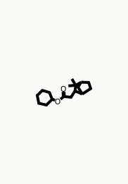 CC1(C)C2CCC(C2)C1CC(=O)OC1CCCCC1